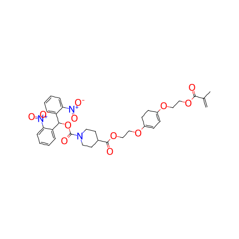 C=C(C)C(=O)OCCOC1=CC=C(OCCOC(=O)C2CCN(C(=O)OC(c3ccccc3[N+](=O)[O-])c3ccccc3[N+](=O)[O-])CC2)CC1